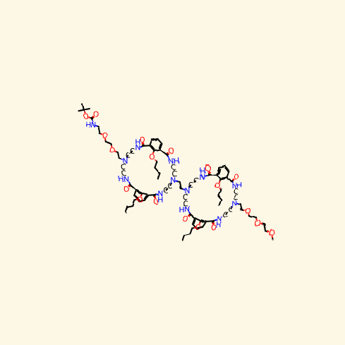 CCCCOc1c2cccc1C(=O)NCCN(CCN1CCNC(=O)c3cccc(c3OCCCC)C(=O)NCCN(CCOCCOCCOC)CCNC(=O)c3cccc(c3OCCCC)C(=O)NCC1)CCNC(=O)c1cccc(c1OCCCC)C(=O)NCCN(CCOCCOCCNC(=O)OC(C)(C)C)CCNC2=O